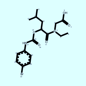 CCN(CC(=O)O)C(=O)C(CC(C)C)OC(=O)Nc1ccc(Br)cc1